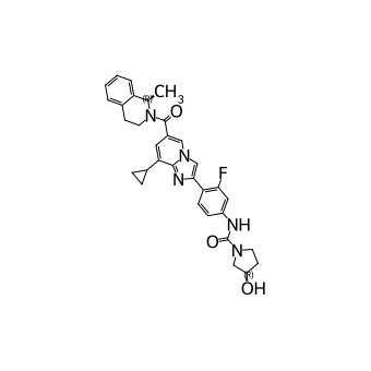 C[C@@H]1c2ccccc2CCN1C(=O)c1cc(C2CC2)c2nc(-c3ccc(NC(=O)N4CC[C@@H](O)C4)cc3F)cn2c1